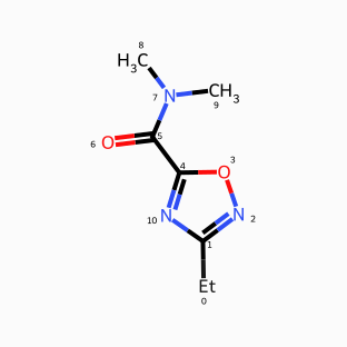 CCc1noc(C(=O)N(C)C)n1